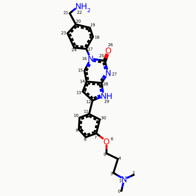 CN(C)CCCOc1cccc(-c2cc3cn(-c4ccc(CN)cc4)c(=O)nc3[nH]2)c1